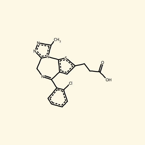 Cc1nnc2n1-c1sc(CCC(=O)O)cc1C(c1ccccc1Cl)=NC2